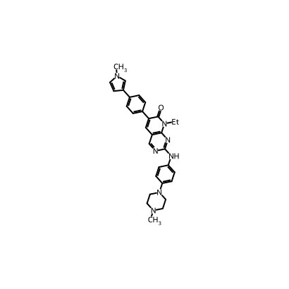 CCn1c(=O)c(-c2ccc(-c3ccn(C)c3)cc2)cc2cnc(Nc3ccc(N4CCN(C)CC4)cc3)nc21